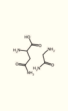 NC(=O)CC(N)C(=O)O.NCC(N)=O